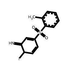 Cc1ccccc1S(=O)(=O)C1=CC(=N)C(I)C=C1